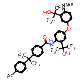 CNc1ccc(Oc2ccc(NC(=O)c3ccc(C(c4ccc(C(C)=O)cc4)(C(F)(F)F)C(F)(F)F)cc3)c(C(O)(C(F)(F)F)C(F)(F)F)c2)cc1C(O)(C(F)(F)F)C(F)(F)F